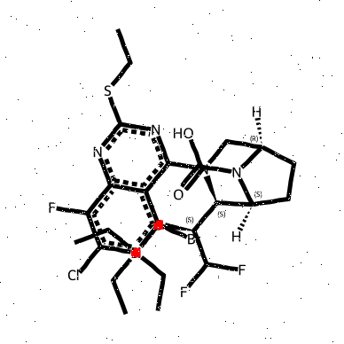 CCSc1nc(N2C[C@H]3CC[C@@H]([C@H]2[C@H](O[Si](CC)(CC)CC)C(F)F)N3C(=O)O)c2c(Br)nc(Cl)c(F)c2n1